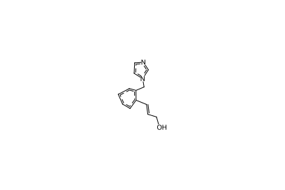 OC/C=C/c1ccccc1Cn1ccnc1